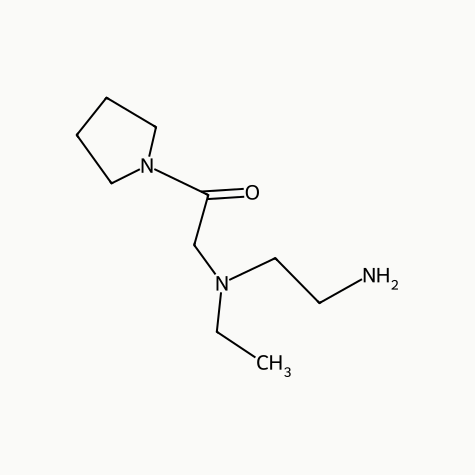 CCN(CCN)CC(=O)N1CCCC1